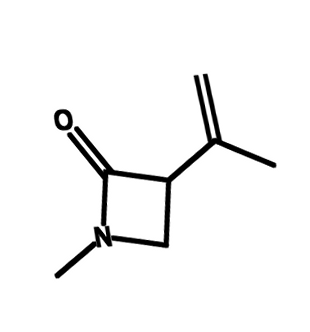 C=C(C)C1CN(C)C1=O